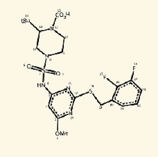 COc1cc(NS(=O)(=O)N2CCN(C(=O)O)C(C(C)(C)C)C2)nc(SCc2cccc(F)c2F)n1